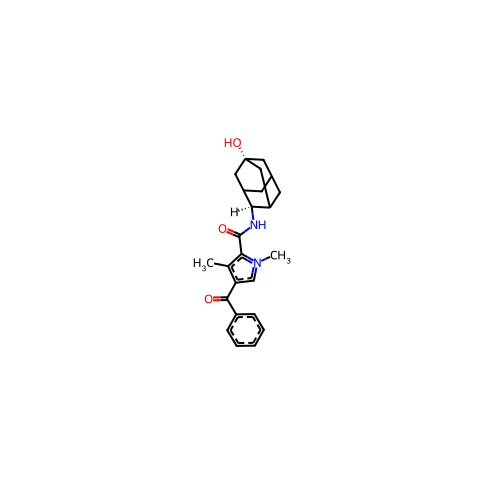 Cc1c(C(=O)c2ccccc2)cn(C)c1C(=O)N[C@H]1C2CC3CC1C[C@](O)(C3)C2